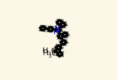 CC1(C)c2ccccc2-c2cc(-c3cccc(-c4ccc(-c5cc(-c6cccc7ccccc67)nc(-c6ccc(-c7ccccc7)cc6)n5)c5ccccc45)c3)ccc21